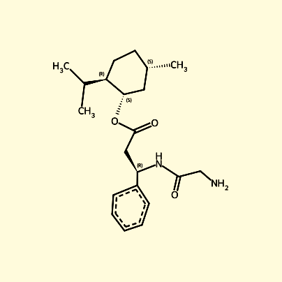 CC(C)[C@H]1CC[C@H](C)C[C@@H]1OC(=O)C[C@@H](NC(=O)CN)c1ccccc1